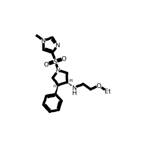 CCOCCN[C@H]1CN(S(=O)(=O)c2cn(C)cn2)C[C@@H]1c1ccccc1